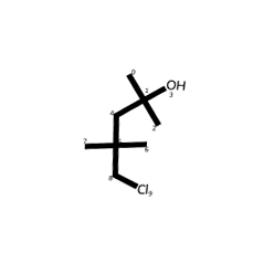 CC(C)(O)CC(C)(C)CCl